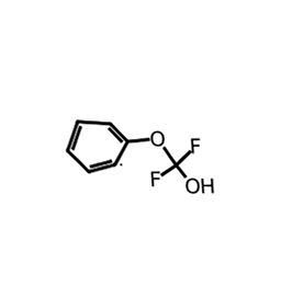 OC(F)(F)Oc1[c]cccc1